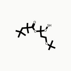 CC(C)(C)CC(C)(C)C(=O)OC(C)(CCOC(C)(C)C)OS